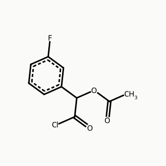 CC(=O)OC(C(=O)Cl)c1cccc(F)c1